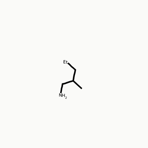 CCCC(C)CN